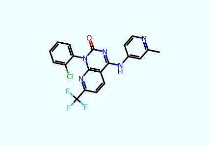 Cc1cc(Nc2nc(=O)n(-c3ccccc3Cl)c3nc(C(F)(F)F)ccc23)ccn1